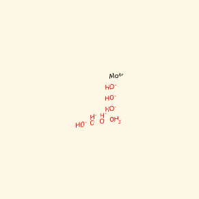 O.[Mo+6].[OH-].[OH-].[OH-].[OH-].[OH-].[OH-]